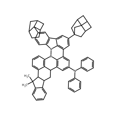 CC1(C)c2ccccc2C2CC3c4cc(N(c5ccccc5)c5ccccc5)cc5c4B(c4cccc(c43)C21)n1c2ccc(C34C6CCC3CC4C6)cc2c2cc(C34CC6CC7CC(C3)C76C4)cc-5c21